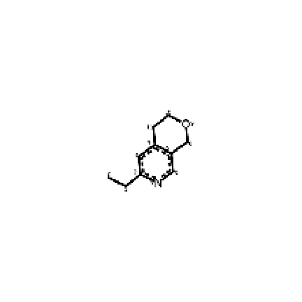 CCc1cc2c(cn1)COCC2